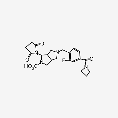 O=C(c1ccc(CN2CC3CN(C(=O)O)C(N4C(=O)CCC4=O)C3C2)c(F)c1)N1CCC1